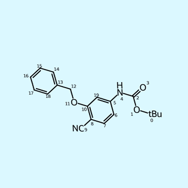 CC(C)(C)OC(=O)Nc1ccc(C#N)c(OCc2ccccc2)c1